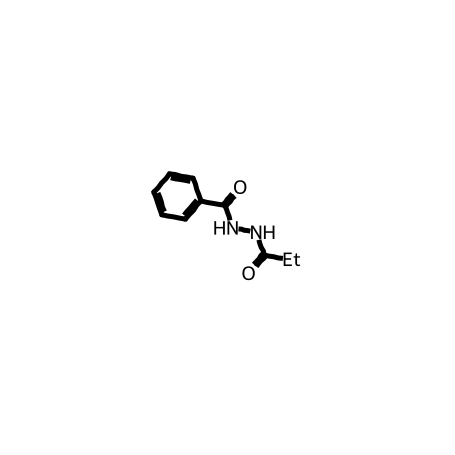 CCC(=O)NNC(=O)c1ccccc1